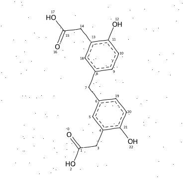 O=C(O)Cc1cc(Cc2ccc(O)c(CC(=O)O)c2)ccc1O